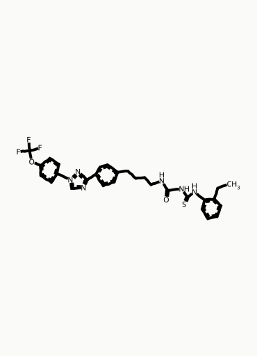 CCc1ccccc1NC(=S)NC(=O)NCCCCc1ccc(-c2ncn(-c3ccc(OC(F)(F)F)cc3)n2)cc1